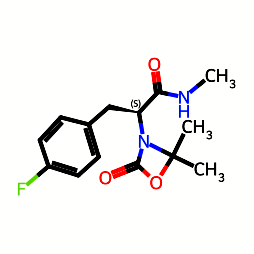 CNC(=O)[C@H](Cc1ccc(F)cc1)N1C(=O)OC1(C)C